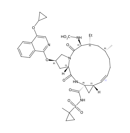 CC[C@@H]1C[C@H](C)CC/C=C\[C@@H]2C[C@@]2(C(=O)NS(=O)(=O)C2(C)CC2)NC(=O)[C@@H]2C[C@@H](Oc3ncc(OC4CC4)c4ccccc34)CN2C(=O)[C@H]1NC(=O)O